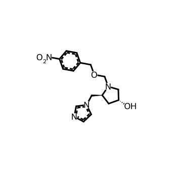 O=[N+]([O-])c1ccc(COCN2C[C@H](O)C[C@H]2Cn2ccnc2)cc1